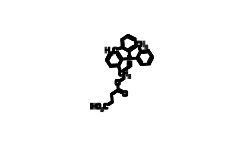 Cc1ccccc1[PH](CCCOC(=O)CCC(=O)O)(c1ccccc1C)c1ccccc1C